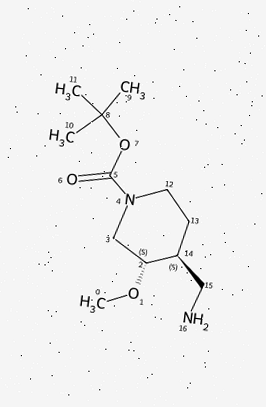 CO[C@@H]1CN(C(=O)OC(C)(C)C)CC[C@H]1CN